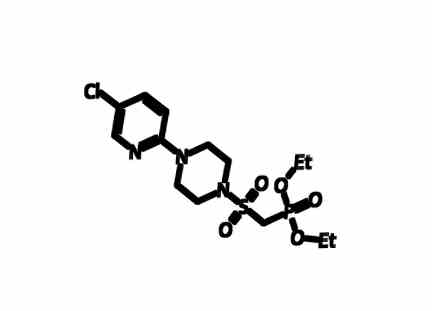 CCOP(=O)(CS(=O)(=O)N1CCN(c2ccc(Cl)cn2)CC1)OCC